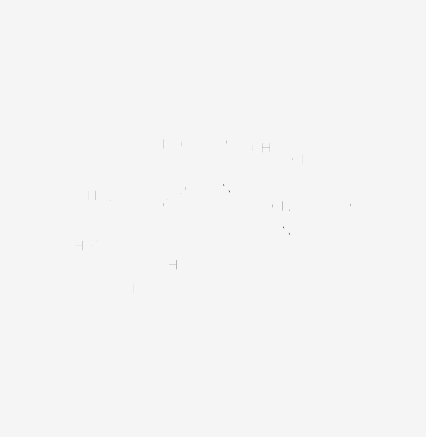 CC(OCC(CN1CCOCC1)N(C(C)(C)C)S(C)(=O)=O)C(C)(C)C